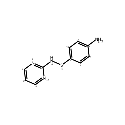 Nc1ccc(SNc2ncccn2)cc1